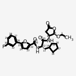 CCO[C@@H]1OC(=O)C[C@@H]1NC(=O)[C@H](CC1CCCC1)NC(=O)c1ccc(-c2cccc(F)c2)o1